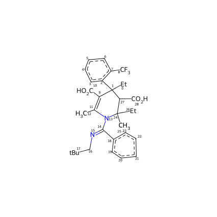 CCC1(c2ccccc2C(F)(F)F)C(C(=O)O)=C(C)N(C(=NCC(C)(C)C)c2ccccc2)C(C)(CC)C1C(=O)O